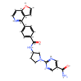 NC(=O)c1cnc(N2CCC(NC(=O)c3ccc(-c4nccc5occc45)cc3)C2)nc1